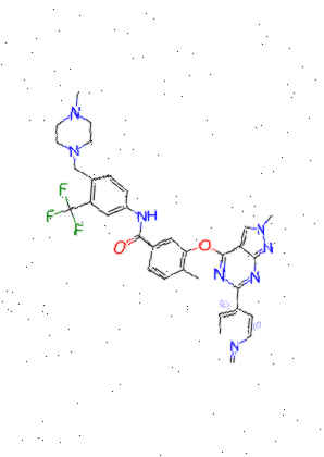 C=N/C=C\C(=C/C)c1nc(Oc2cc(C(=O)Nc3ccc(CN4CCN(C)CC4)c(C(F)(F)F)c3)ccc2C)c2cn(C)nc2n1